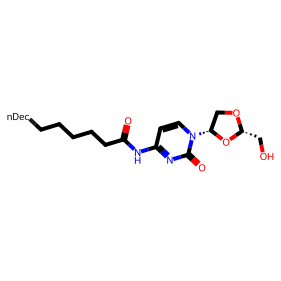 CCCCCCCCCCCCCCCC(=O)Nc1ccn([C@@H]2CO[C@H](CO)O2)c(=O)n1